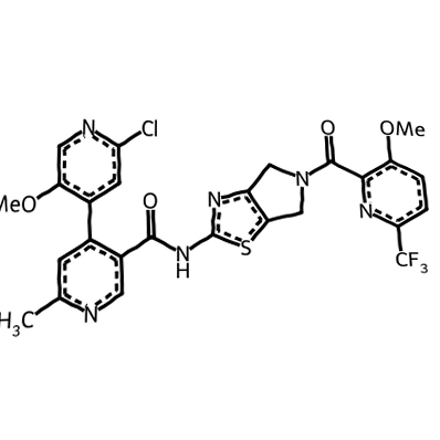 COc1cnc(Cl)cc1-c1cc(C)ncc1C(=O)Nc1nc2c(s1)CN(C(=O)c1nc(C(F)(F)F)ccc1OC)C2